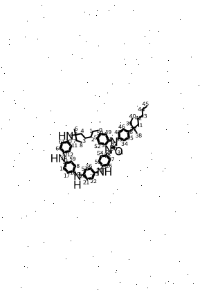 CCCCCC(C)(CC)Nc1ccc(Nc2ccc(Nc3ccc(Nc4ccc(-n5c(=O)n(-c6ccc(C(C)(CC)CCCCC)cc6)c6ccccc65)cc4)cc3)cc2)cc1